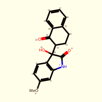 COc1ccc2c(c1)NC(=O)C2(O)C1CCc2ccccc2C1=O